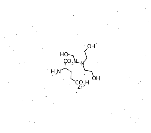 N[C@@H](CCC(=O)O)C(=O)O.OCCN(CCO)CCO.[Zr]